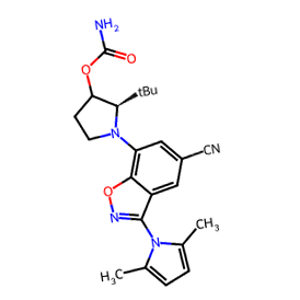 Cc1ccc(C)n1-c1noc2c(N3CCC(OC(N)=O)[C@H]3C(C)(C)C)cc(C#N)cc12